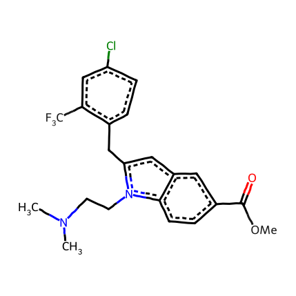 COC(=O)c1ccc2c(c1)cc(Cc1ccc(Cl)cc1C(F)(F)F)n2CCN(C)C